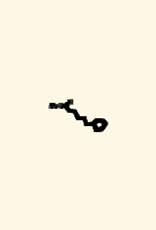 COC(=O)CCCCCc1ccccc1